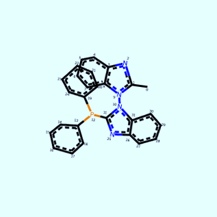 Cc1nc2ccccc2n1-n1c(P(c2ccccc2)c2ccccc2)nc2ccccc21